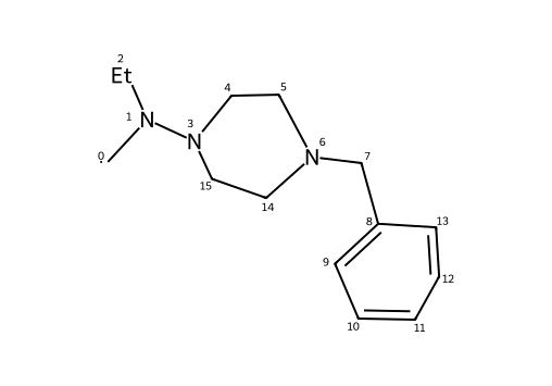 [CH2]N(CC)N1CCN(Cc2ccccc2)CC1